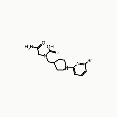 NC(=O)CN(CC1CCN(c2cccc(Br)n2)CC1)C(=O)O